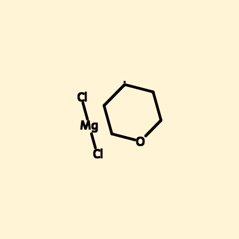 [CH]1CCOCC1.[Cl][Mg][Cl]